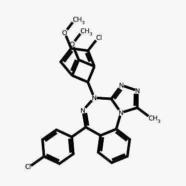 COc1cc2c(OC)c(c1Cl)C2N1N=C(c2ccc(Cl)cc2)c2ccccc2-n2c(C)nnc21